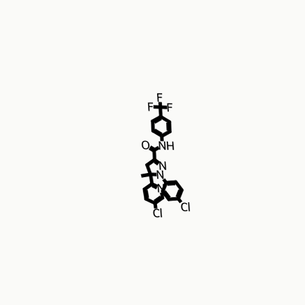 CC1(c2ccc(Cl)cn2)CC(C(=O)Nc2ccc(C(F)(F)F)cc2)=NN1c1ccc(Cl)cc1